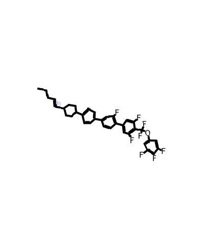 CCC/C=C/C1CCC(c2ccc(-c3ccc(-c4cc(F)c(C(F)(F)Oc5cc(F)c(F)c(F)c5)c(F)c4)c(F)c3)cc2)CC1